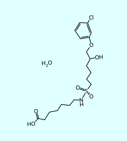 O.O=C(O)CCCCCCNS(=O)(=O)CCCCC(O)COc1cccc(Cl)c1